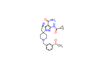 C[S+]([O-])c1cccc(CN2CCC(CC#N)(n3cc(C(N)=O)c(NC(=O)C4CC4)n3)CC2)c1